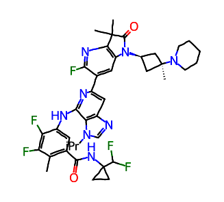 Cc1c(C(=O)NC2(C(F)F)CC2)cc(Nc2nc(-c3cc4c(nc3F)C(C)(C)C(=O)N4[C@H]3C[C@@](C)(N4CCCCC4)C3)cc3ncn(C(C)C)c23)c(F)c1F